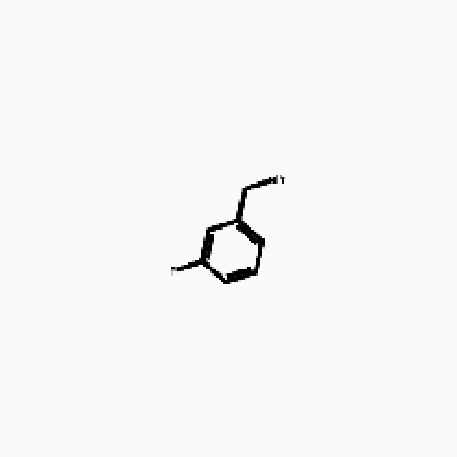 CC(C)[CH]c1cccc(F)c1